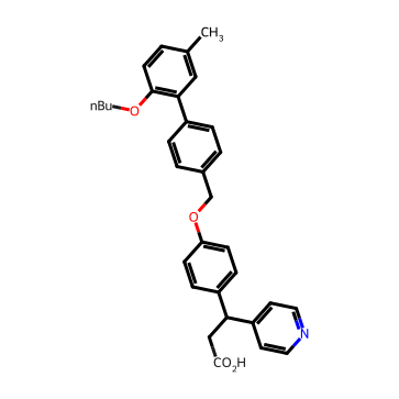 CCCCOc1ccc(C)cc1-c1ccc(COc2ccc(C(CC(=O)O)c3ccncc3)cc2)cc1